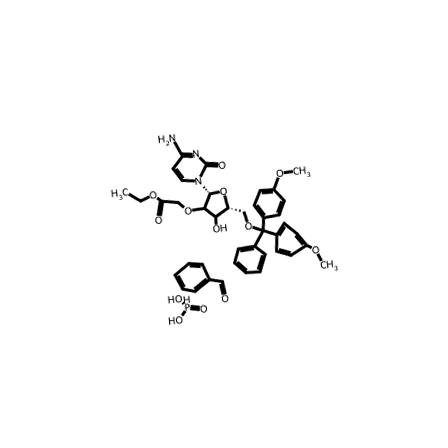 CCOC(=O)COC1C(O)[C@@H](COC(c2ccccc2)(c2ccc(OC)cc2)c2ccc(OC)cc2)O[C@H]1n1ccc(N)nc1=O.O=Cc1ccccc1.O=[PH](O)O